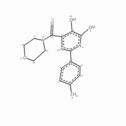 Cc1ccc(-c2nc(O)c(O)c(C(=O)N3CCOCC3)n2)cc1